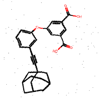 O=C(O)c1cc(Oc2cccc(C#CC34CC5CC(CC(C5)C3)C4)c2)cc(C(=O)O)c1